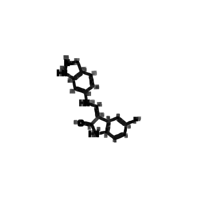 O=C1Nc2ccc(F)cc2C1=CNc1ccc2cn[nH]c2c1